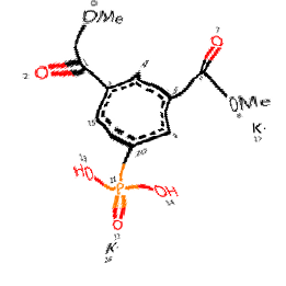 COC(=O)c1cc(C(=O)OC)cc(P(=O)(O)O)c1.[K].[K]